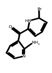 Nc1ncccc1C(=O)C1=CC=CC(Br)N1